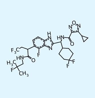 CC(C)(F)CNC(=O)C(CC(F)(F)F)c1ccc2[nH]c([C@@H](NC(=O)c3nonc3C3CC3)C3CCC(F)(F)CC3)nc2c1F